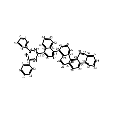 c1ccc(-c2nc(-c3ccccc3)nc(-c3ccc(-c4cccc5c4ccc4ccc6c7ccccc7ccc6c45)c4ccccc34)n2)cc1